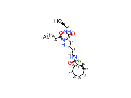 C#CCNC(=O)[C@@H](CCCCNC(=O)C1(F)C#CCCCCC1)NC(=O)CSC(C)=O